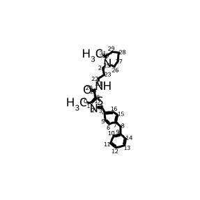 Cc1nc(-c2ccc(Cc3ccccc3)cc2)sc1C(=O)NCCCN1CCCCC1C